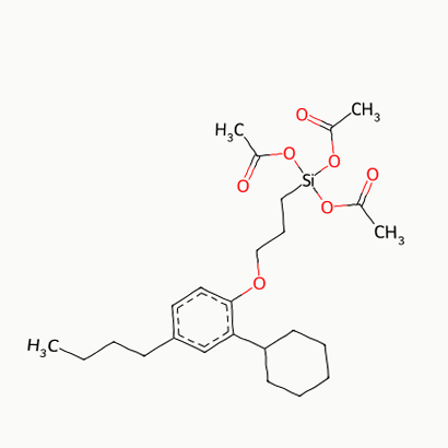 CCCCc1ccc(OCCC[Si](OC(C)=O)(OC(C)=O)OC(C)=O)c(C2CCCCC2)c1